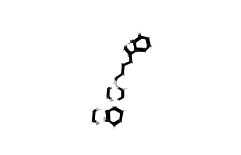 Clc1cccc2c(CCCCN3CCN(c4cccc5c4OCCO5)CC3)coc12